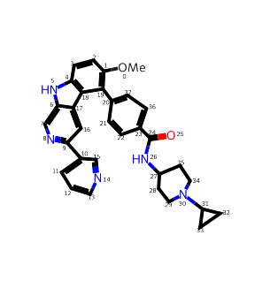 COc1ccc2[nH]c3cnc(-c4cccnc4)cc3c2c1-c1ccc(C(=O)NC2CCN(C3CC3)CC2)cc1